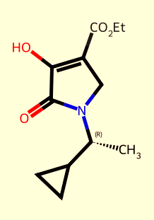 CCOC(=O)C1=C(O)C(=O)N([C@H](C)C2CC2)C1